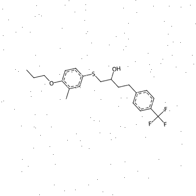 CCCOc1ccc(SCC(O)CCc2ccc(C(F)(F)F)cc2)cc1C